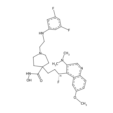 COc1ccc2ncc(N(C)C)c([C@H](F)CCC3(C(=O)NO)CCN(CCNc4cc(F)cc(F)c4)CC3)c2c1